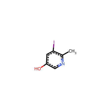 Cc1ncc(O)cc1I